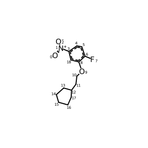 O=[N+]([O-])c1ccc(F)c(OCCC2CCCCC2)c1